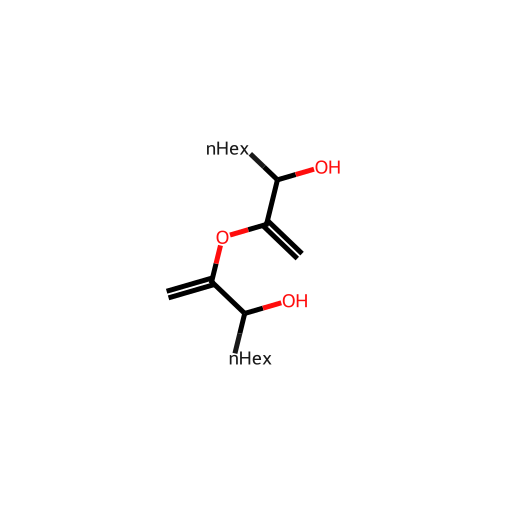 C=C(OC(=C)C(O)CCCCCC)C(O)CCCCCC